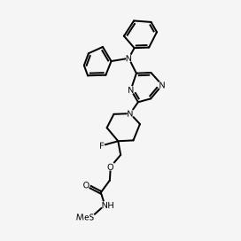 CSNC(=O)COCC1(F)CCN(c2cncc(N(c3ccccc3)c3ccccc3)n2)CC1